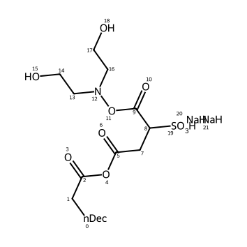 CCCCCCCCCCCC(=O)OC(=O)CC(C(=O)ON(CCO)CCO)S(=O)(=O)O.[NaH].[NaH]